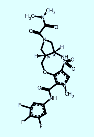 CN(C)C(=O)C(=O)N1C[C@H]2COc3c(cn(C)c3C(=O)Nc3cc(F)c(F)c(F)c3)S(=O)(=O)N[C@H]2C1